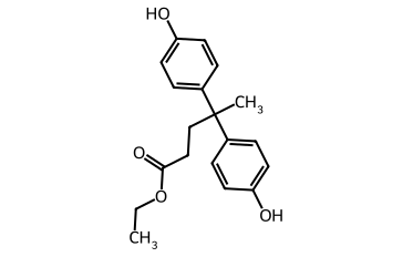 CCOC(=O)CCC(C)(c1ccc(O)cc1)c1ccc(O)cc1